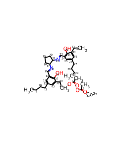 CC(=O)[O-].CC(=O)[O-].CCCCc1cc(C=NC2CCCC2N=Cc2cc(CCCC)cc(CC)c2O)c(O)c(CC)c1.[Co+2]